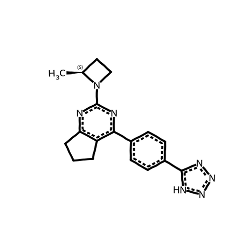 C[C@H]1CCN1c1nc2c(c(-c3ccc(-c4nnn[nH]4)cc3)n1)CCC2